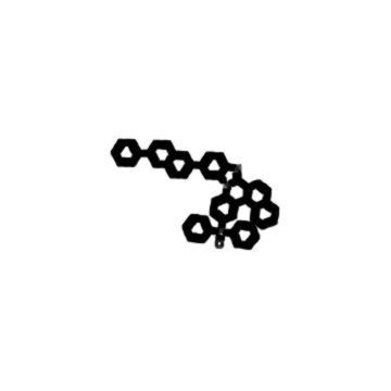 O=P(c1ccccc1)(c1ccccc1)c1ccc2c(c1)c1c3ccccc3ccc1c1nc3ccc(-c4ccc5cc(-c6ccccc6)ccc5c4)cc3n21